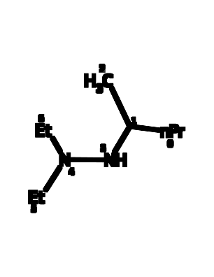 CCCC(C)NN(CC)CC